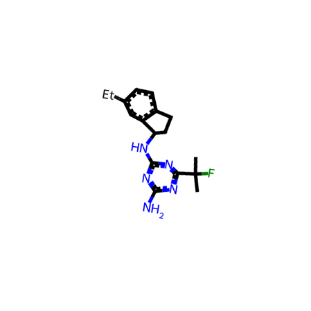 CCc1ccc2c(c1)C(Nc1nc(N)nc(C(C)(C)F)n1)CC2